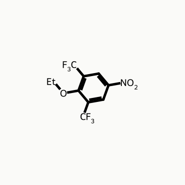 CCOc1c(C(F)(F)F)cc([N+](=O)[O-])cc1C(F)(F)F